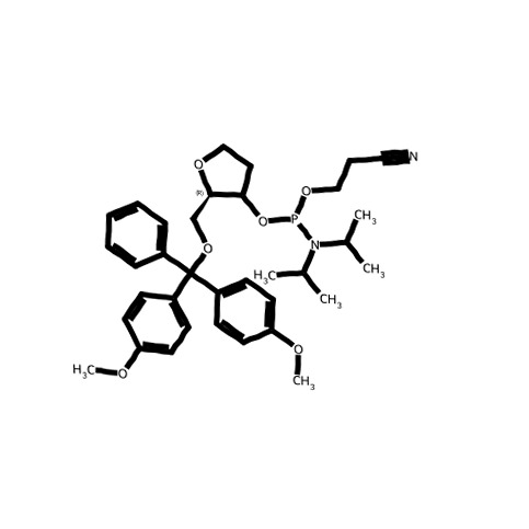 COc1ccc(C(OC[C@H]2OCCC2OP(OCCC#N)N(C(C)C)C(C)C)(c2ccccc2)c2ccc(OC)cc2)cc1